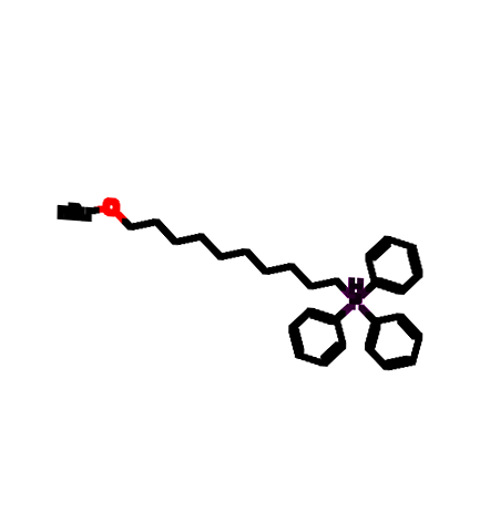 CCCCOCCCCCCCCCC[PH](c1ccccc1)(c1ccccc1)c1ccccc1